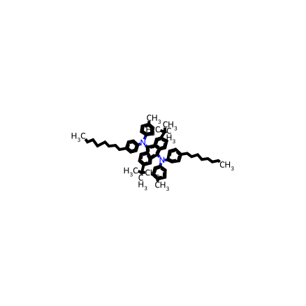 CCCCCCCCc1ccc(N(c2ccc(C)cc2)c2c3ccc(C(C)(C)C)cc3c(N(c3ccc(C)cc3)c3ccc(CCCCCCCC)cc3)c3ccc(C(C)(C)C)cc23)cc1